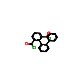 O=C(Cl)c1cccc(C(=O)Cl)c1-c1ccccc1-c1ccccc1